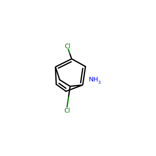 Clc1cc2ccc1CC2Cl.N